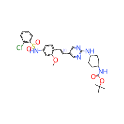 COc1cc(NS(=O)(=O)c2ccccc2Cl)ccc1/C=C/c1cnc(N[C@H]2CC[C@H](NC(=O)OC(C)(C)C)CC2)nc1